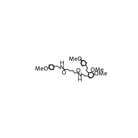 COc1ccc(CCNC(=O)CCCCC(=O)NCCc2ccc(OC)c(OC)c2CCc2ccc(OC)cc2)cc1